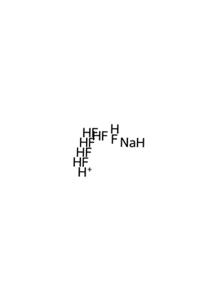 F.F.F.F.F.F.[H+].[NaH]